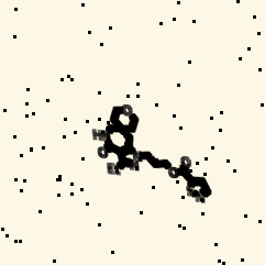 CCc1nn(CCCOC(=O)c2ccns2)c2c1C(=O)NCC1(CCOCC1)C2